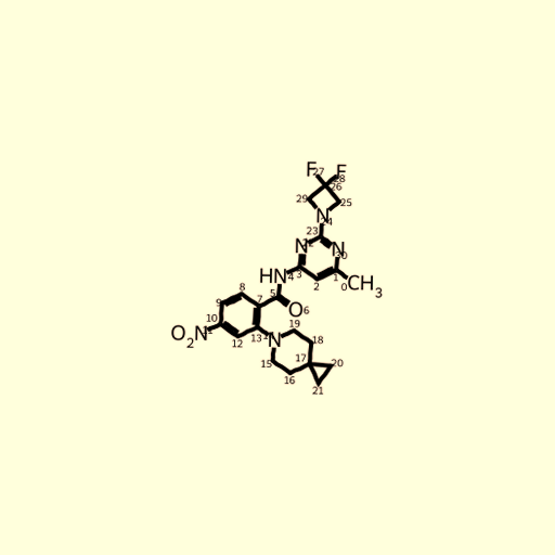 Cc1cc(NC(=O)c2ccc([N+](=O)[O-])cc2N2CCC3(CC2)CC3)nc(N2CC(F)(F)C2)n1